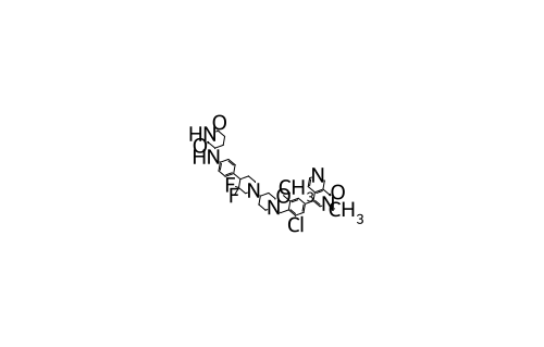 COc1cc(-c2cn(C)c(=O)c3cnccc23)cc(Cl)c1CN1CCC(N2CCC(c3ccc(NC4CCC(=O)NC4=O)cc3)C(F)(F)C2)CC1